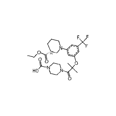 CCOC(=O)[C@@H]1CCCN(c2cc(OC(C)(C)C(=O)N3CCN(C(=O)O)CC3)cc(C(F)(F)F)c2)C1